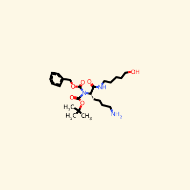 CC(C)(C)OC(=O)N(C(=O)OCc1ccccc1)[C@@H](CCCCN)C(=O)NCCCCCO